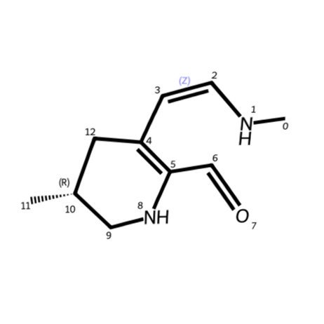 CN/C=C\C1=C(C=O)NC[C@H](C)C1